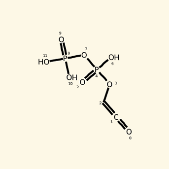 O=C=COP(=O)(O)OP(=O)(O)O